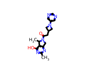 Cc1nc(O)c2c(n1)CN(C(=O)CC1CN(c3cncnc3)C1)C2C